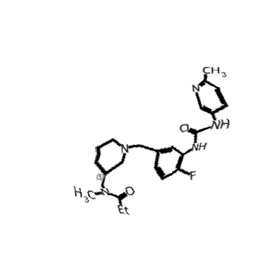 CCC(=O)N(C)[C@H]1CCCN(Cc2ccc(F)c(NC(=O)Nc3ccc(C)nc3)c2)C1